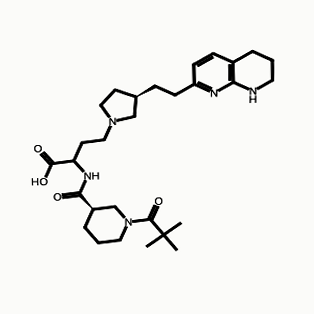 CC(C)(C)C(=O)N1CCC[C@@H](C(=O)NC(CCN2CC[C@@H](CCc3ccc4c(n3)NCCC4)C2)C(=O)O)C1